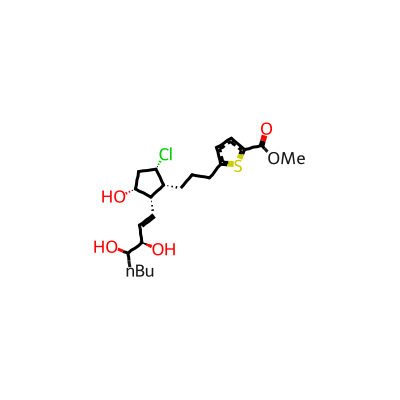 CCCCC(O)[C@H](O)C=C[C@H]1[C@@H](CCCc2ccc(C(=O)OC)s2)[C@@H](Cl)C[C@H]1O